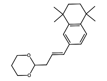 CC1(C)CCC(C)(C)c2cc(C=CCC3OCCCO3)ccc21